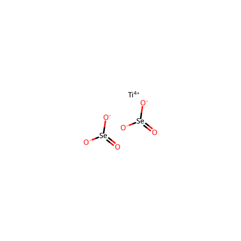 O=[Se]([O-])[O-].O=[Se]([O-])[O-].[Ti+4]